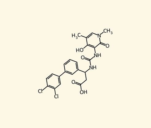 Cc1cn(C)c(=O)c(NC(=O)NC(CC(=O)O)c2cccc(-c3ccc(Cl)c(Cl)c3)c2)c1O